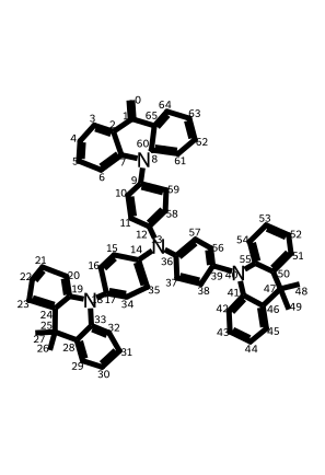 C=C1c2ccccc2N(c2ccc(N(c3ccc(N4c5ccccc5C(C)(C)c5ccccc54)cc3)c3ccc(N4c5ccccc5C(C)(C)c5ccccc54)cc3)cc2)c2ccccc21